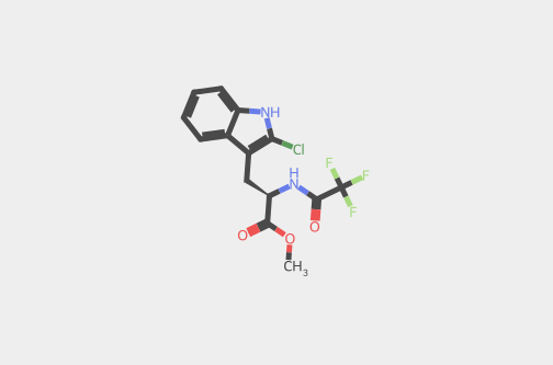 COC(=O)[C@@H](Cc1c(Cl)[nH]c2ccccc12)NC(=O)C(F)(F)F